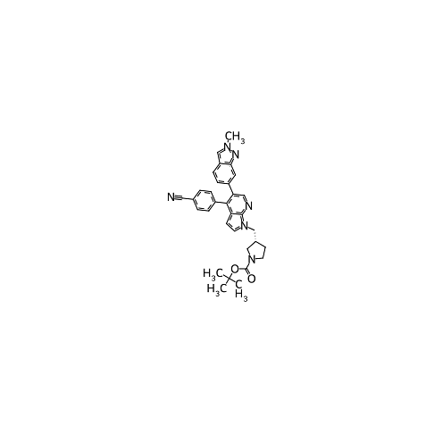 Cn1cc2ccc(-c3cnc4c(ccn4C[C@@H]4CCN(C(=O)OC(C)(C)C)C4)c3-c3ccc(C#N)cc3)cc2n1